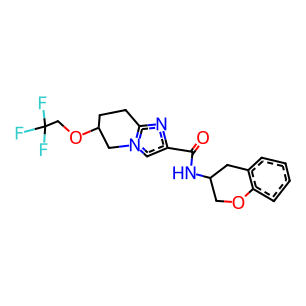 O=C(NC1COc2ccccc2C1)c1cn2c(n1)CCC(OCC(F)(F)F)C2